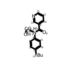 CCCCc1ccc(N(Cl)C(=O)c2cccnc2)cc1.O=C(O)O